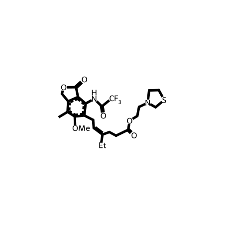 CCC(=CCc1c(NC(=O)C(F)(F)F)c2c(c(C)c1OC)COC2=O)CCC(=O)OCCN1CCSC1